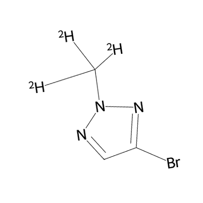 [2H]C([2H])([2H])n1ncc(Br)n1